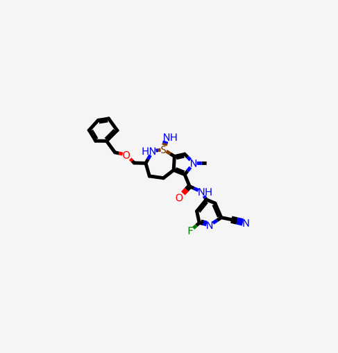 Cn1cc2c(c1C(=O)Nc1cc(F)nc(C#N)c1)CCC(COCc1ccccc1)NS2=N